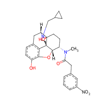 CN(C(=O)Cc1cccc([N+](=O)[O-])c1)[C@H]1CC[C@@]2(O)[C@H]3Cc4ccc(O)c5c4[C@@]2(CCN3CC2CC2)[C@H]1O5